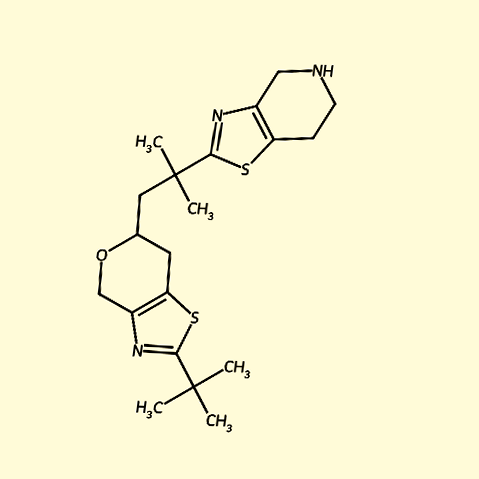 CC(C)(C)c1nc2c(s1)CC(CC(C)(C)c1nc3c(s1)CCNC3)OC2